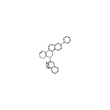 C1=CC2=C(CC1)C(c1cc3ccccc3nn1)Cc1c2ccc2cc(-c3ccccc3)ccc12